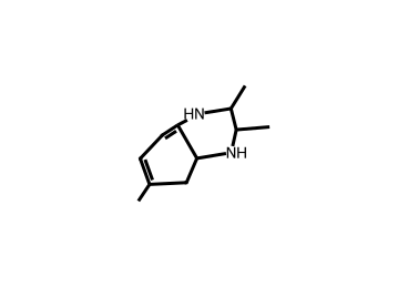 CC1=CC=C2NC(C)C(C)NC2C1